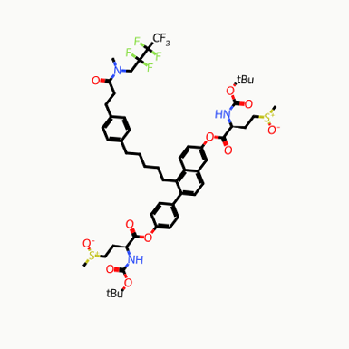 CN(CC(F)(F)C(F)(F)C(F)(F)F)C(=O)CCc1ccc(CCCCCc2c(-c3ccc(OC(=O)[C@H](CC[S+](C)[O-])NC(=O)OC(C)(C)C)cc3)ccc3cc(OC(=O)[C@H](CC[S+](C)[O-])NC(=O)OC(C)(C)C)ccc23)cc1